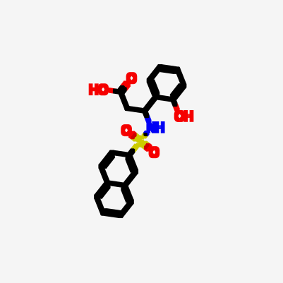 O=C(O)CC(NS(=O)(=O)c1ccc2ccccc2c1)c1ccccc1O